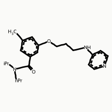 CCCN(C(=O)c1cc(C)cc(OCCCNc2ccncc2)c1)C(C)C